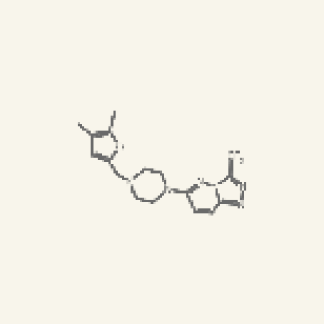 Cc1cc(CN2CCN(c3ccc4nnc(C(F)(F)F)n4n3)CC2)oc1C